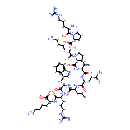 CCC[C@H](NC(=O)[C@H](CCC(=O)O)NC(=O)[C@@H](NC(=O)[C@@H]1CCCN1C(=O)[C@H](CCCCN)NC(=O)[C@@H]1CCCN1C(=O)[C@@H](N)CCCNC(=N)N)C(C)C)C(=O)N[C@@H](Cc1c[nH]c2ccccc12)C(=O)N[C@@H](CCCNC(=N)N)C(=O)N[C@@H](CCCCN)C(=O)O